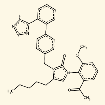 CCCCCc1cn(-c2c(OC)cccc2C(C)=O)c(=O)n1Cc1ccc(-c2ccccc2-c2nnn[nH]2)cc1